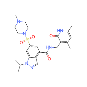 Cc1cc(C)c(CNC(=O)c2cc(S(=O)(=O)N3CCN(C)CC3)cc3c2cnn3C(C)C)c(=O)[nH]1